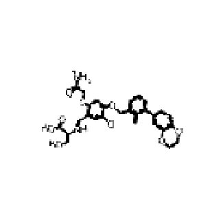 Cc1c(COc2cc(OCC(N)=O)c(CNC(CO)C(=O)O)cc2Cl)cccc1-c1ccc2c(c1)OCCO2